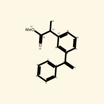 C=C(c1ccccc1)c1cccc(C(C)C(=O)OC)c1